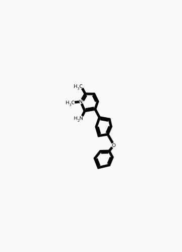 Cc1ccc(-c2ccc(Oc3ccccc3)cc2)c(N)[n+]1C